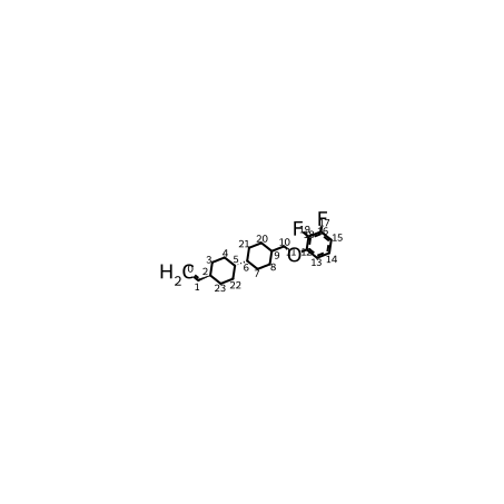 C=C[C@H]1CC[C@H](C2CCC(COc3cccc(F)c3F)CC2)CC1